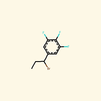 CCC(Br)c1cc(F)c(F)c(F)c1